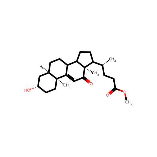 COC(=O)CC[C@@H](C)C1CCC2C3CC[C@@H]4C[C@@H](O)CC[C@]4(C)C3=CC(=O)[C@@]21C